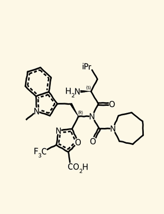 CC(C)C[C@H](N)C(=O)N(C(=O)N1CCCCCC1)[C@H](Cc1cn(C)c2ccccc12)c1nc(C(F)(F)F)c(C(=O)O)o1